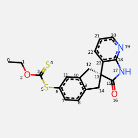 CCOC(=S)Sc1ccc2c(c1)C[C@@]1(C2)C(=O)Nc2ncccc21